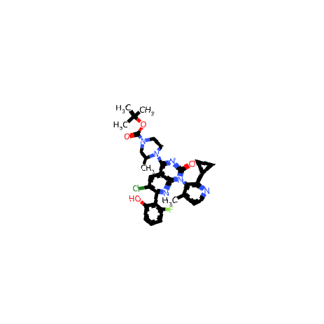 Cc1ccnc(C2CC2)c1-n1c(=O)nc(N2CCN(C(=O)OC(C)(C)C)CC2C)c2cc(Cl)c(-c3c(O)cccc3F)nc21